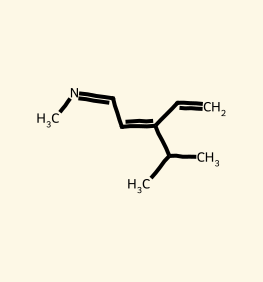 C=C/C(=C\C=N/C)C(C)C